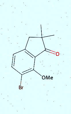 COc1c(Br)ccc2c1C(=O)C(C)(C)C2